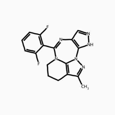 Cc1nn2c3c1CCCN3C(c1c(F)cccc1F)=Nc1cn[nH]c1-2